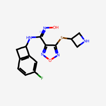 O/N=C(/NC1Cc2ccc(F)cc21)c1nonc1SC1CNC1